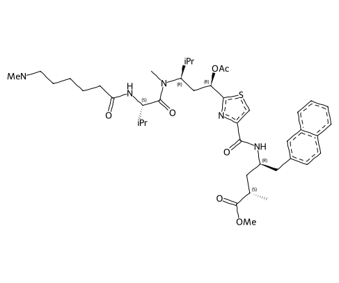 CNCCCCCC(=O)N[C@H](C(=O)N(C)[C@H](C[C@@H](OC(C)=O)c1nc(C(=O)N[C@@H](Cc2ccc3ccccc3c2)C[C@H](C)C(=O)OC)cs1)C(C)C)C(C)C